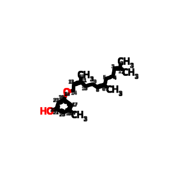 CC(C)=CCCC(C)=CCCC(C)=CCOc1cc(C)cc(O)c1